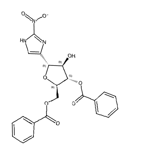 O=C(OC[C@H]1O[C@H](c2c[nH]c([N+](=O)[O-])n2)[C@@H](O)[C@@H]1OC(=O)c1ccccc1)c1ccccc1